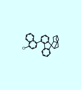 Clc1ccc(-c2cccc3c2-c2ccccc2C32C3CC4CC(C3)C2C4)c2ccccc12